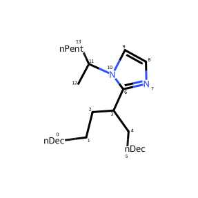 CCCCCCCCCCCCC(CCCCCCCCCCC)c1nccn1C(C)CCCCC